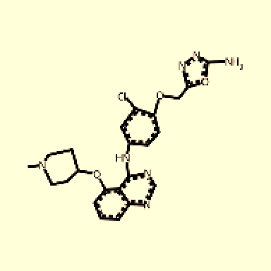 CN1CCC(Oc2cccc3ncnc(Nc4ccc(OCc5nnc(N)o5)c(Cl)c4)c23)CC1